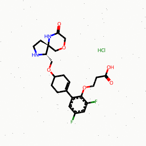 Cl.O=C(O)CCOc1c(F)cc(F)cc1C1=CCC(OC[C@@H]2NCC[C@@]23COCC(=O)N3)CC1